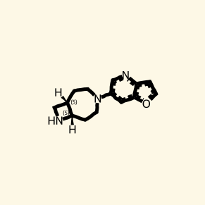 c1cc2ncc(N3CC[C@H]4CN[C@H]4CC3)cc2o1